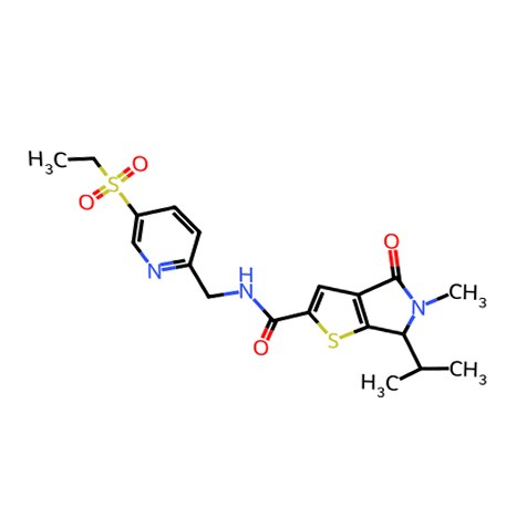 CCS(=O)(=O)c1ccc(CNC(=O)c2cc3c(s2)C(C(C)C)N(C)C3=O)nc1